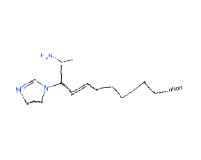 CCCCCCCCCCCCCCC=CC(C(C)N)N1C=NCC1